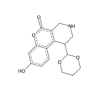 O=c1oc2cc(O)ccc2c2c1CNCC2C1OCCCO1